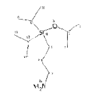 CC(C)O[Si](CCCN)(C(C)C)C(C)C